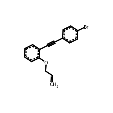 C=CCOc1ccccc1C#Cc1ccc(Br)cc1